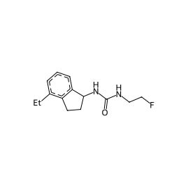 CCc1cccc2c1CCC2NC(=O)NCCF